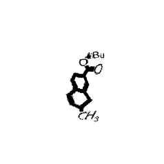 Cc1ccc2ccc(C(=O)OC(C)(C)C)cc2c1